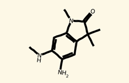 CNc1cc2c(cc1N)C(C)(C)C(=O)N2C